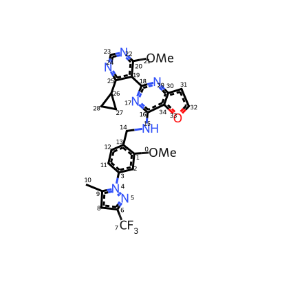 COc1cc(-n2nc(C(F)(F)F)cc2C)ccc1CNc1nc(-c2c(OC)ncnc2C2CC2)nc2ccoc12